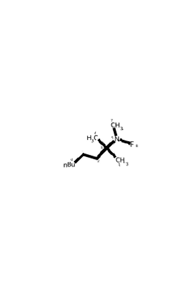 CCCCCCC(C)(C)N(C)F